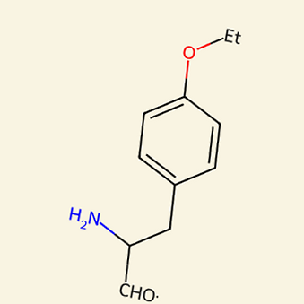 CCOc1ccc(CC(N)[C]=O)cc1